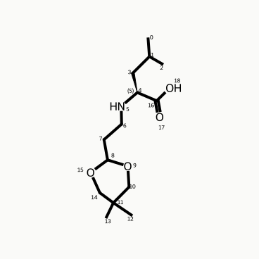 CC(C)C[C@H](NCCC1OCC(C)(C)CO1)C(=O)O